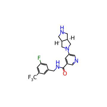 O=C(NCc1cc(F)cc(C(F)(F)F)c1)c1cncc(N2C[C@H]3CNC[C@H]3C2)c1